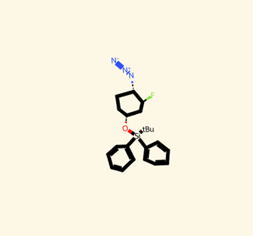 CC(C)(C)[Si](O[C@@H]1CC[C@H](N=[N+]=[N-])[C@@H](F)C1)(c1ccccc1)c1ccccc1